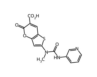 CN(C(=O)Nc1cccnc1)c1cc2oc(=O)c(C(=O)O)cc2s1